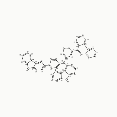 c1cc(-c2cc3ccccc3c3ccccc23)cc(N(c2ccc(-c3ccc4oc5ccccc5c4c3)cc2)c2cccc3oc4ccccc4c23)c1